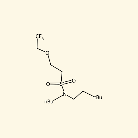 CCCCN(CCC(C)(C)C)S(=O)(=O)CCOCC(F)(F)F